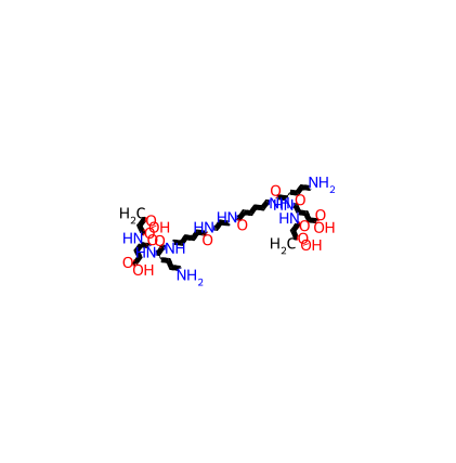 C=C(CC(=O)NC(CCC(=O)O)C(=O)N[C@@H](CCCCN)C(=O)NCCCCCC(=O)NCCCNC(=O)CCCCCNC(=O)[C@H](CCCCN)NC(=O)C(CCC(=O)O)NC(=O)CC(=C)OO)OO